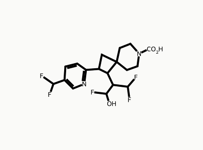 O=C(O)N1CCC2(CC1)CC(c1ccc(C(F)F)cn1)C2C(C(O)F)C(F)F